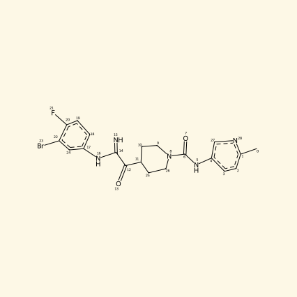 Cc1ccc(NC(=O)N2CCC(C(=O)C(=N)Nc3ccc(F)c(Br)c3)CC2)cn1